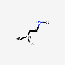 CCCC[SiH](C=CNCC)C(C)(C)C